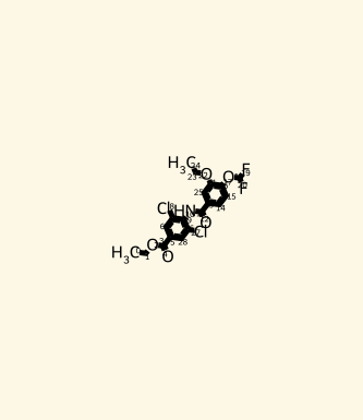 CCOC(=O)c1cc(Cl)c(NC(=O)c2ccc(OC(F)F)c(OCC)c2)c(Cl)c1